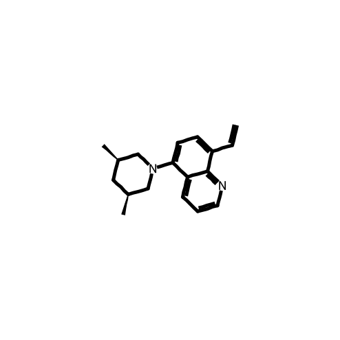 C=Cc1ccc(N2C[C@H](C)C[C@H](C)C2)c2cccnc12